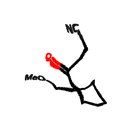 COCC1(C(=O)CC#N)CCC1